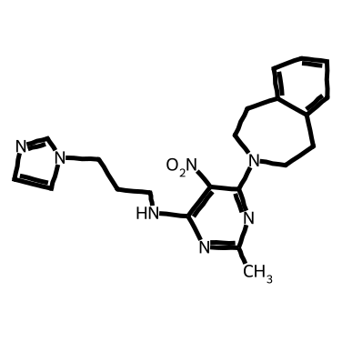 Cc1nc(NCCCn2ccnc2)c([N+](=O)[O-])c(N2CCc3ccccc3CC2)n1